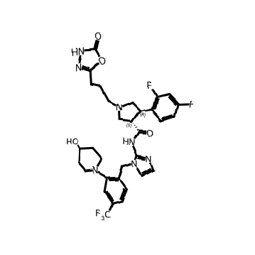 O=C(Nc1nccn1Cc1ccc(C(F)(F)F)cc1N1CCC(O)CC1)[C@@H]1CN(CCCc2n[nH]c(=O)o2)C[C@H]1c1ccc(F)cc1F